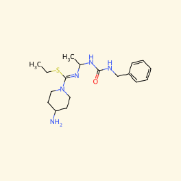 CCS/C(=N\C(C)NC(=O)NCc1ccccc1)N1CCC(N)CC1